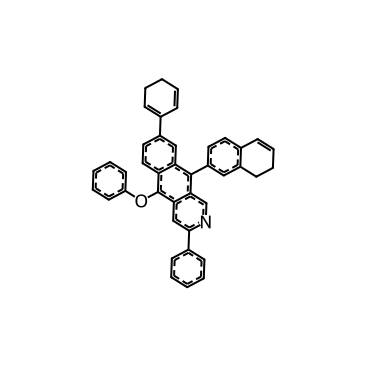 C1=CC(c2ccc3c(Oc4ccccc4)c4cc(-c5ccccc5)ncc4c(-c4ccc5c(c4)CCC=C5)c3c2)=CCC1